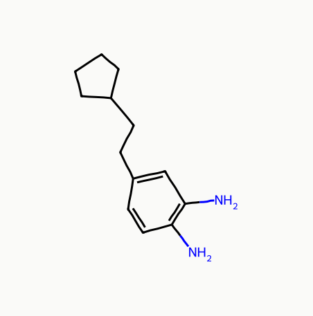 Nc1ccc(CCC2CCCC2)cc1N